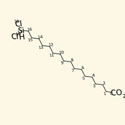 O=C(O)CCCCCCCCCCCCCCCC[SiH](Cl)Cl